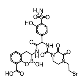 NS(=O)(=O)c1ccc(C(NC(=O)N2CCN(CCBr)C(=O)C2=O)C(=O)NC2Cc3cccc(C(=O)O)c3OB2O)cc1O